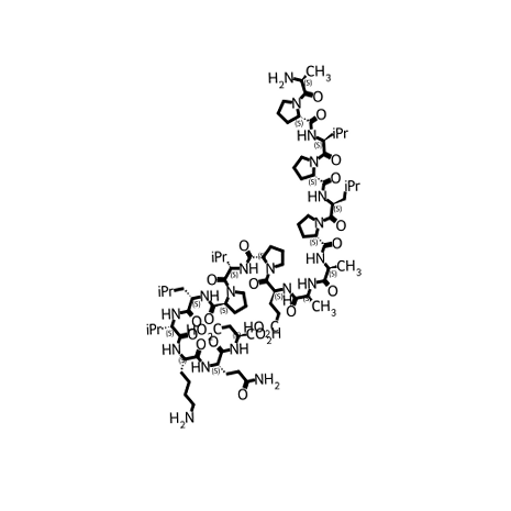 CC(C)C[C@H](NC(=O)[C@@H]1CCCN1C(=O)[C@@H](NC(=O)[C@@H]1CCCN1C(=O)[C@H](CCC(=O)O)NC(=O)[C@H](C)NC(=O)[C@H](C)NC(=O)[C@@H]1CCCN1C(=O)[C@H](CC(C)C)NC(=O)[C@@H]1CCCN1C(=O)[C@@H](NC(=O)[C@@H]1CCCN1C(=O)[C@H](C)N)C(C)C)C(C)C)C(=O)N[C@H](C(=O)N[C@@H](CCCCN)C(=O)N[C@@H](CCC(N)=O)C(=O)N[C@@H](CC(=O)O)C(=O)O)C(C)C